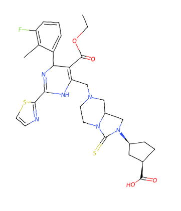 CCOC(=O)C1=C(CN2CCN3C(=S)N([C@H]4CC[C@@H](C(=O)O)C4)CC3C2)NC(c2nccs2)=NC1c1cccc(F)c1C